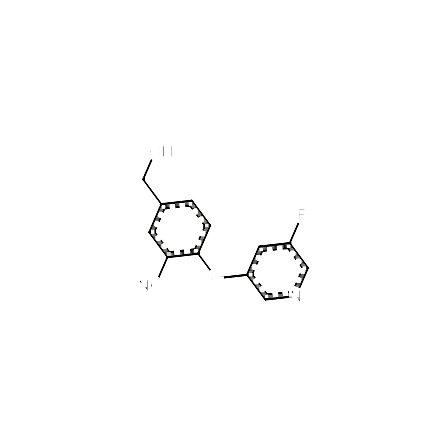 N#Cc1cc(CO)ccc1Oc1cncc(F)c1